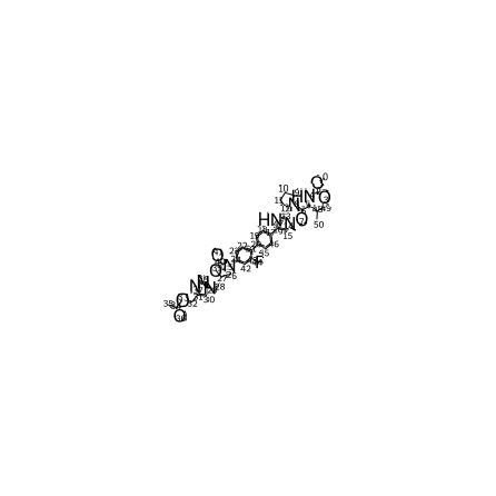 COC(=O)N[C@H](C(=O)N1CCC[C@H]1c1ncc(-c2ccc(-c3ccc(N4C[C@H](Cn5cc(COC(C)=O)nn5)OC4=O)cc3F)cc2)[nH]1)C(C)C